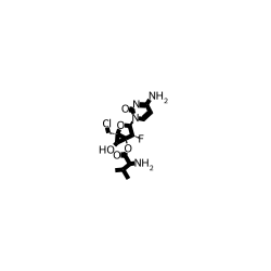 CC(C)C(N)C(=O)O[C@]12C(O)[C@@]1(CCl)O[C@@H](n1ccc(N)nc1=O)[C@@H]2F